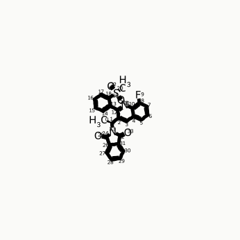 C[C@@H](c1cc2cccc(F)c2nc1-c1ccccc1S(C)(=O)=O)N1C(=O)c2ccccc2C1=O